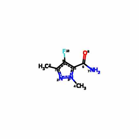 Cc1nn(C)c(C(N)=O)c1F